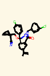 C=C(C)c1ccc2c(c1)C(=O)N(Cc1ccc(Cl)cc1)C2(OCC1(C#N)CC1)c1ccc(Cl)cc1